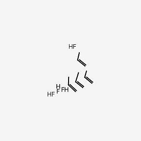 C=CC.C=CC.C=CC.C=CC.F.F.F.F